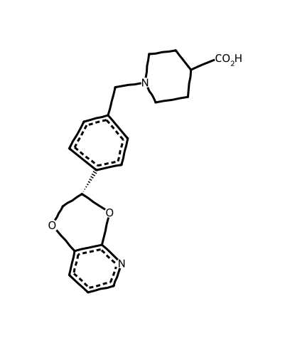 O=C(O)C1CCN(Cc2ccc([C@H]3COc4cccnc4O3)cc2)CC1